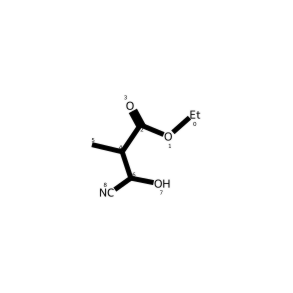 CCOC(=O)C(C)C(O)C#N